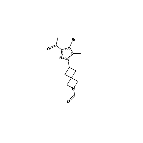 CC(=O)c1nn(C2CC3(C2)CN(C=O)C3)c(C)c1Br